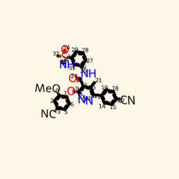 COc1cc(C#N)ccc1Oc1nnc(-c2ccc(C#N)cc2)c(C)c1C(=O)Nc1cccc(S(C)(=N)=O)c1